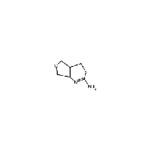 NC1=NC2COCC2CS1